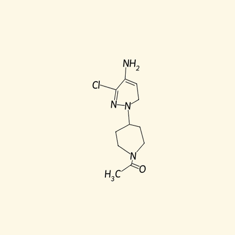 CC(=O)N1CCC(N2CC=C(N)C(Cl)=N2)CC1